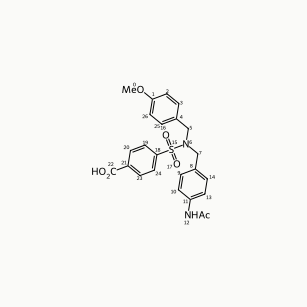 COc1ccc(CN(Cc2ccc(NC(C)=O)cc2)S(=O)(=O)c2ccc(C(=O)O)cc2)cc1